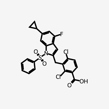 O=C(O)c1ccc(Cl)c(Cc2cc3c(F)cc(C4CC4)cc3n2S(=O)(=O)c2ccccc2)c1Cl